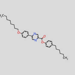 CCCCCCCCOc1ccc(-c2cnc(C(=O)Oc3ccc(CCCCCC)cc3)cn2)cc1